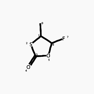 CC1SC(=O)OC1F